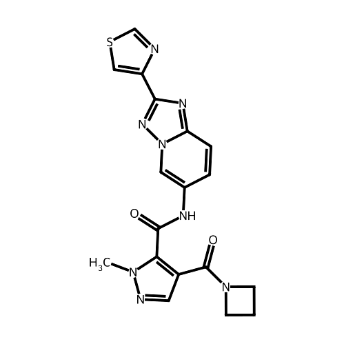 Cn1ncc(C(=O)N2CCC2)c1C(=O)Nc1ccc2nc(-c3cscn3)nn2c1